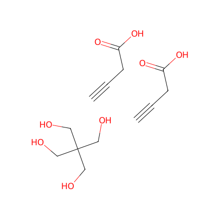 C#CCC(=O)O.C#CCC(=O)O.OCC(CO)(CO)CO